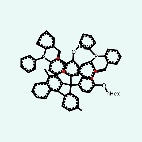 CCCCCCOc1ccc(C2(c3ccc(OCCCCCC)c(/C=C/c4ccccc4P(c4ccccc4)c4ccccc4)c3)c3cc(C)ccc3-c3c2cc(C)c2ccccc32)cc1/C=C/c1ccccc1P(c1ccccc1)c1ccccc1